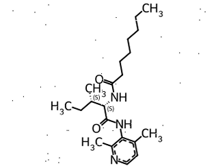 CCCCCCCC(=O)N[C@H](C(=O)Nc1c(C)ccnc1C)[C@@H](C)CC